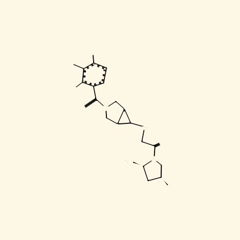 N#C[C@@H]1C[C@H](F)CN1C(=O)CNC1C2CN(C(=O)c3ccc(F)c(Cl)c3F)CC21